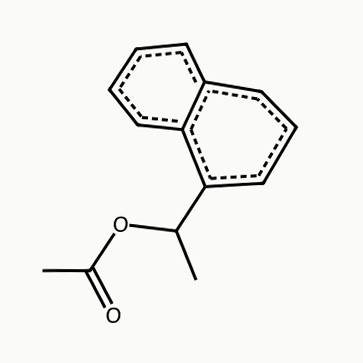 CC(=O)OC(C)c1cccc2ccccc12